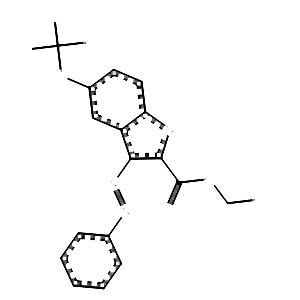 CCOC(=O)c1[nH]c2ccc(OC(F)(F)F)cc2c1/N=N/c1ccccc1